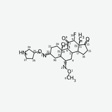 CON=C1CC2C(C(=O)C(F)[C@]3(C)C(=O)CCC23)[C@@]2(C)CCC(=NOC3CCNC3)CC12